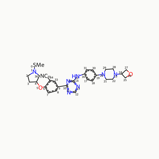 CSN1CCC(Oc2ccc(-c3ncnc(Nc4ccc(N5CCN(C6COC6)CC5)cc4)n3)cc2C#N)C1